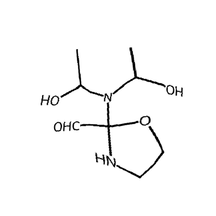 CC(O)N(C(C)O)C1(C=O)NCCO1